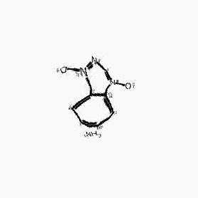 N.[O-][n+]1cn[n+]([O-])c2ccccc21